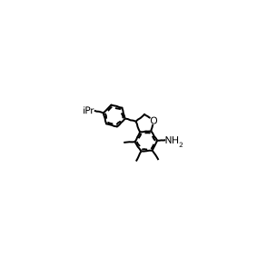 Cc1c(C)c(N)c2c(c1C)C(c1ccc(C(C)C)cc1)CO2